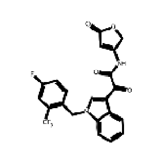 O=C1C=C(NC(=O)C(=O)c2cn(Cc3ccc(F)cc3C(F)(F)F)c3ccccc23)CO1